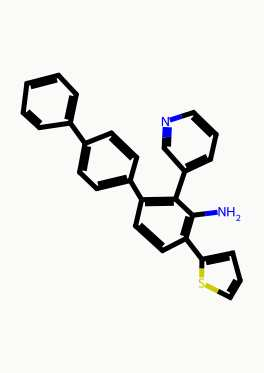 Nc1c(-c2cccs2)ccc(-c2ccc(-c3ccccc3)cc2)c1-c1cccnc1